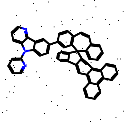 C1=Cc2ccc(-c3ccc4c(c3)c3ncccc3n4-c3ccccn3)cc2C2(c3ccccc31)c1ccccc1-c1cc3c4ccccc4c4ccccc4c3cc12